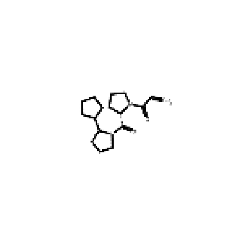 C=CC(=O)N1CCC[C@H]1C(=O)N1CCCC1C1CCCC1